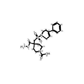 COC(=O)C1(CS(=O)(=O)N2CC=C(c3ccccc3)CC2)CCN(C(=O)O)CC1